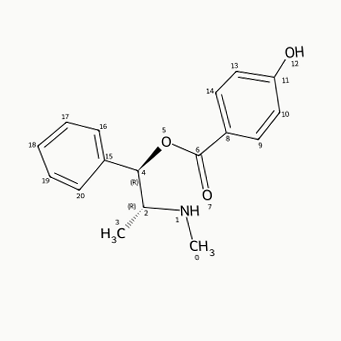 CN[C@H](C)[C@H](OC(=O)c1ccc(O)cc1)c1ccccc1